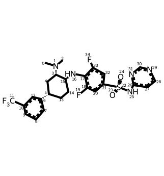 CN(C)[C@H]1C[C@@H](c2cccc(C(F)(F)F)c2)CC[C@@H]1Nc1c(F)cc(S(=O)(=O)Nc2ccncn2)cc1F